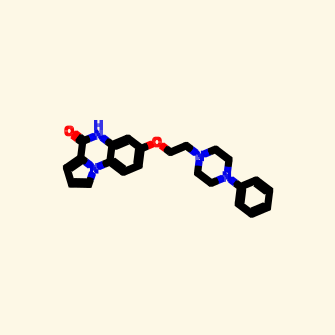 O=c1[nH]c2cc(OCCN3CCN(c4ccccc4)CC3)ccc2n2cccc12